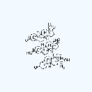 C[C@]12CCC(=O)C=C1CC[C@@H]1[C@@H]2CC[C@]2(C)C(=O)CC[C@@H]12.C[C@]12CC[C@H](O)CC1=CC[C@@H]1[C@@H]2CC[C@]2(C)C(=O)CC[C@@H]12.C[C@]12CC[C@H]3[C@@H](CCC4=CC(=O)CC[C@@]43C)[C@@H]1CC[C@@H]2O